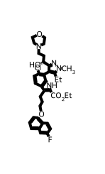 CCOC(=O)c1[nH]c2c(-c3c([C@H](O)CCN4CCOCC4)nn(C)c3CC)c(Cl)ccc2c1CCCOc1cccc2cc(F)ccc12